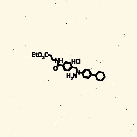 CCOC(=O)CCNC(=O)c1ccc(CN(N)c2ccc(C3CCCCC3)cc2)cc1.Cl